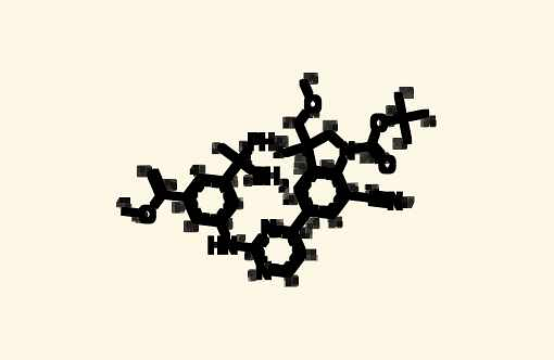 BC(C)(P)c1cc(Nc2nccc(-c3cc(C#N)c4c(c3)C(C)(COC)CN4C(=O)OC(C)(C)C)n2)cc(C(=C)OC)c1